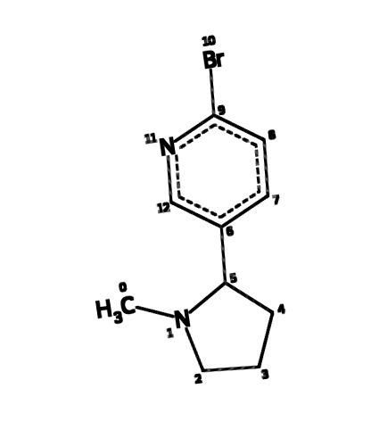 CN1CCCC1c1ccc(Br)nc1